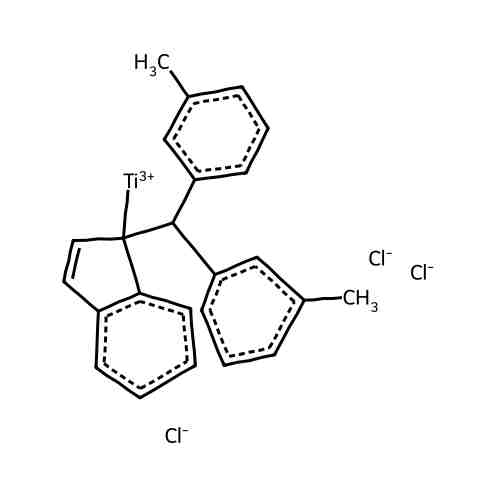 Cc1cccc(C(c2cccc(C)c2)[C]2([Ti+3])C=Cc3ccccc32)c1.[Cl-].[Cl-].[Cl-]